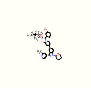 Cc1cc(-c2nn(C3CCCCO3)c3ccc(-c4ccn([C@H](CO[Si](C)(C)C(C)(C)C)c5cccc(Br)c5)c(=O)c4)cc23)ccn1